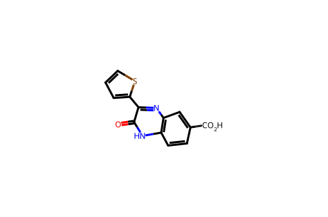 O=C(O)c1ccc2[nH]c(=O)c(-c3cccs3)nc2c1